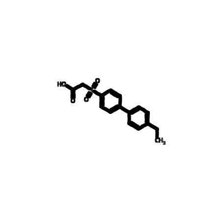 CCc1ccc(-c2ccc(S(=O)(=O)CC(=O)O)cc2)cc1